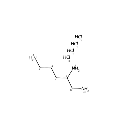 Cl.Cl.Cl.Cl.NCCCC(N)CN